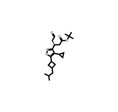 CC(C)CC1CC(c2onc([C@@H](CC=O)CC(=O)OC(C)(C)C)c2C2CC2)C1